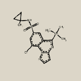 CC1(NS(=O)(=O)c2cc(Cl)c3c(c2)[c]([Sn]([CH3])([CH3])[CH3])nc2ccnn23)CC1